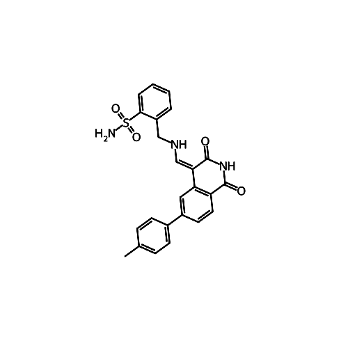 Cc1ccc(-c2ccc3c(c2)/C(=C/NCc2ccccc2S(N)(=O)=O)C(=O)NC3=O)cc1